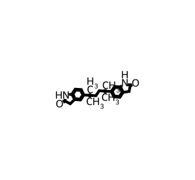 CC(C)(CCC(C)(C)c1ccc2c(c1)NC(=O)C2)c1ccc2c(c1)CC(=O)N2